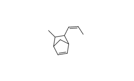 C/C=C\C1C2C=CC(C2)C1C